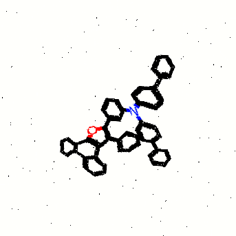 c1ccc(-c2ccc(N(c3ccc(-c4ccccc4)cc3)c3cccc(-c4oc5c6ccccc6c6ccccc6c5c4-c4ccccc4)c3)cc2)cc1